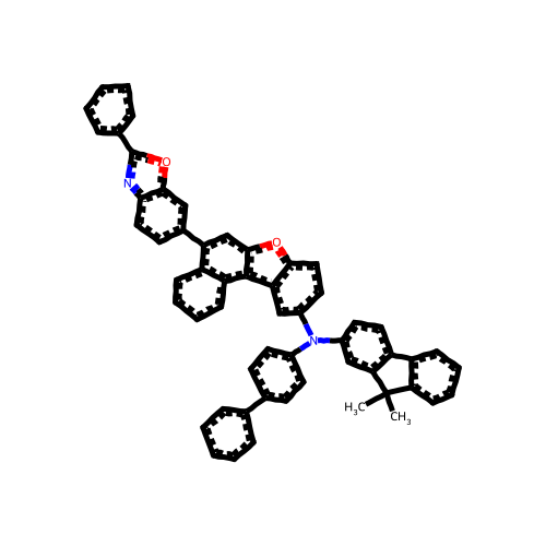 CC1(C)c2ccccc2-c2ccc(N(c3ccc(-c4ccccc4)cc3)c3ccc4oc5cc(-c6ccc7nc(-c8ccccc8)oc7c6)c6ccccc6c5c4c3)cc21